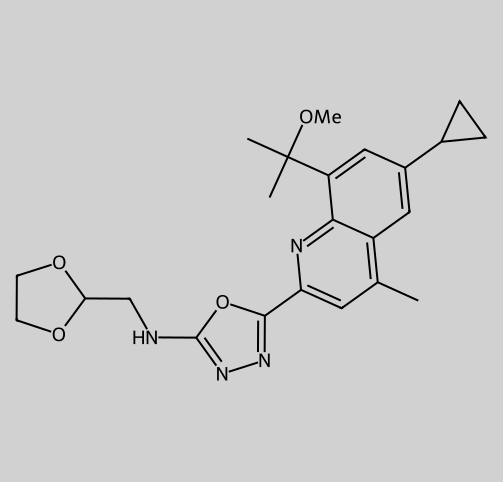 COC(C)(C)c1cc(C2CC2)cc2c(C)cc(-c3nnc(NCC4OCCO4)o3)nc12